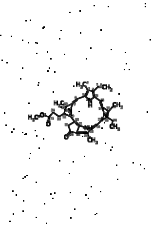 C=Cc1c(C)c2cc3nc(c4c5[nH]c(cc6nc(cc1[nH]2)C(C)=C6CC)c(C)c5C(=O)C4)C(CCC(=O)OC)[C@@H]3C